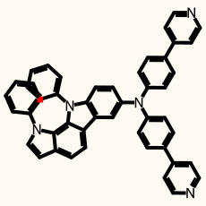 c1ccc(-n2ccc3ccc4c5cc(N(c6ccc(-c7ccncc7)cc6)c6ccc(-c7ccncc7)cc6)ccc5n(-c5ccccc5)c4c32)cc1